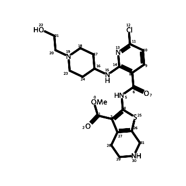 COC(=O)c1c(NC(=O)c2ccc(Cl)nc2NC2CCN(CCO)CC2)sc2c1CCNC2